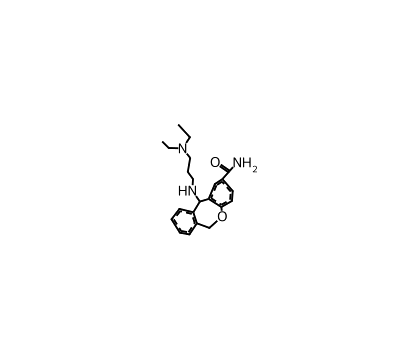 CCN(CC)CCCNC1c2ccccc2COc2ccc(C(N)=O)cc21